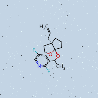 C=CC[C@]12CCC[C@]1(OC(C)c1cc(F)cnc1F)OCC2